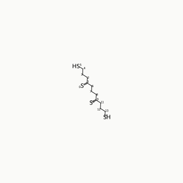 S=C(CCCS)CCCC(=S)CCCS